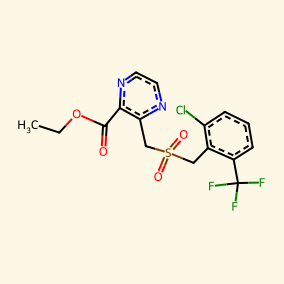 CCOC(=O)c1nccnc1CS(=O)(=O)Cc1c(Cl)cccc1C(F)(F)F